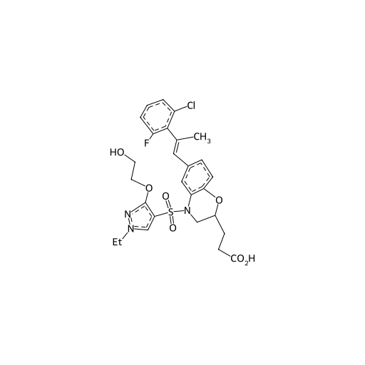 CCn1cc(S(=O)(=O)N2CC(CCC(=O)O)Oc3ccc(C=C(C)c4c(F)cccc4Cl)cc32)c(OCCO)n1